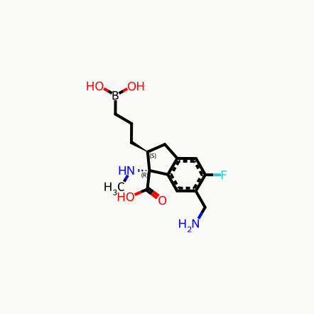 CN[C@@]1(C(=O)O)c2cc(CN)c(F)cc2C[C@@H]1CCCB(O)O